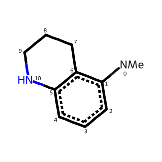 CNc1cccc2c1CCCN2